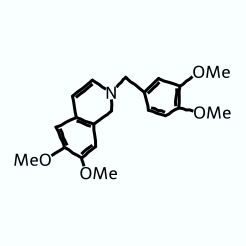 COc1ccc(CN2C=Cc3cc(OC)c(OC)cc3C2)cc1OC